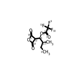 CC[C@H](C)[C@H](OC(=O)C(F)(F)F)C1C(=O)OC1=O